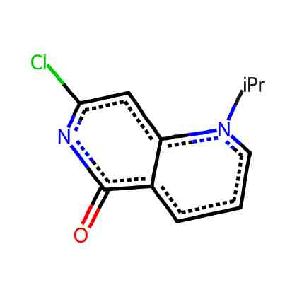 CC(C)n1cccc2c(=O)nc(Cl)cc1-2